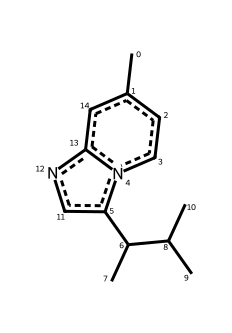 Cc1ccn2c(C(C)C(C)C)cnc2c1